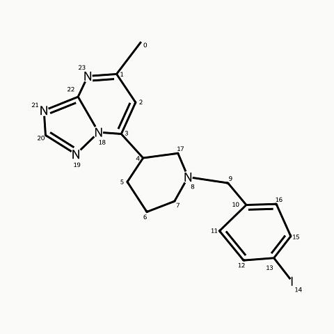 Cc1cc(C2CCCN(Cc3ccc(I)cc3)C2)n2ncnc2n1